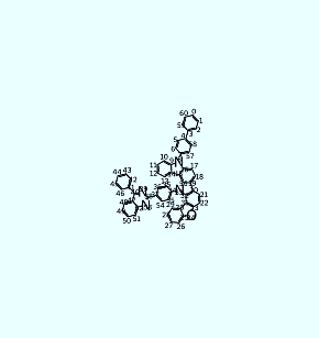 c1ccc(-c2ccc(-n3c4ccccc4c4c3ccc3c5ccc6oc7ccccc7c6c5n(-c5ccc(-c6nc(-c7ccccc7)c7ccccc7n6)cc5)c34)cc2)cc1